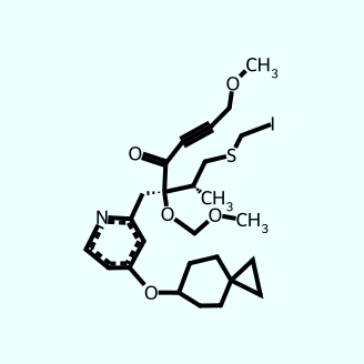 COCC#CC(=O)[C@](Cc1cc(OC2CCC3(CC2)CC3)ccn1)(OCOC)[C@@H](C)CSCI